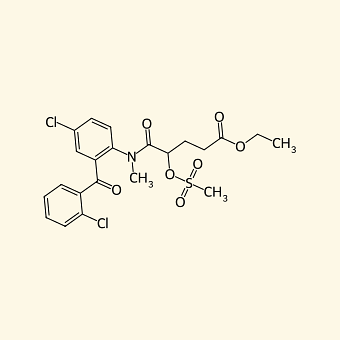 CCOC(=O)CCC(OS(C)(=O)=O)C(=O)N(C)c1ccc(Cl)cc1C(=O)c1ccccc1Cl